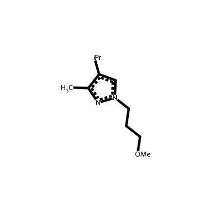 COCCCn1cc(C(C)C)c(C)n1